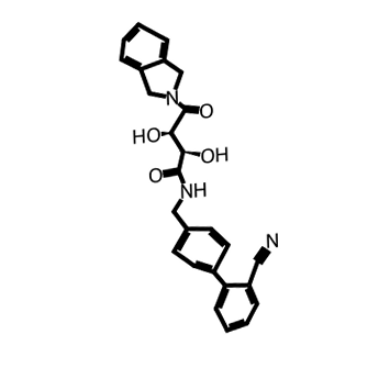 N#Cc1ccccc1-c1ccc(CNC(=O)[C@H](O)[C@@H](O)C(=O)N2Cc3ccccc3C2)cc1